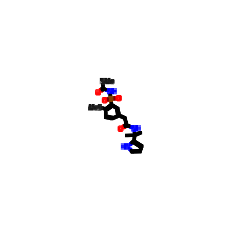 CNC(=O)NS(=O)(=O)c1cc(CC(=O)NC(C)(C)c2ccc[nH]2)ccc1SC